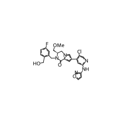 COC[C@H]1Cn2cc(-c3cc(Nc4ccon4)ncc3Cl)cc2C(=O)N1Cc1cc(F)ccc1CO